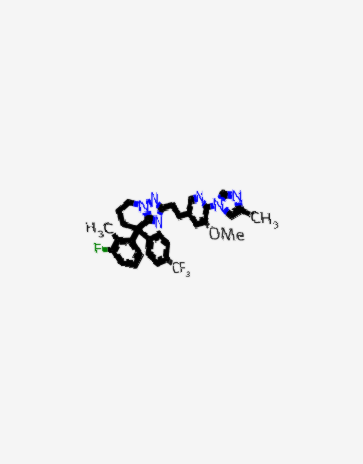 COc1cc(/C=C/c2nc3n(n2)CCCC3(c2ccc(C(F)(F)F)cc2)c2cccc(F)c2C)cnc1-n1cnc(C)c1